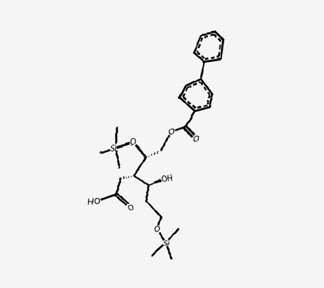 C[Si](C)(C)OCC[C@H](O)[C@H](CC(=O)O)[C@@H](COC(=O)c1ccc(-c2ccccc2)cc1)O[Si](C)(C)C